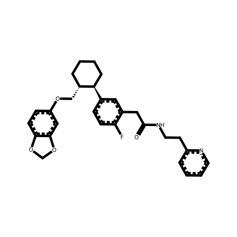 O=C(Cc1cc([C@@H]2CCCC[C@H]2COc2ccc3c(c2)OCO3)ccc1F)NCCc1ccccn1